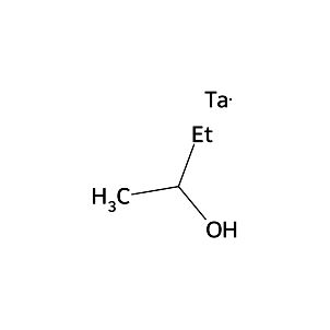 CCC(C)O.[Ta]